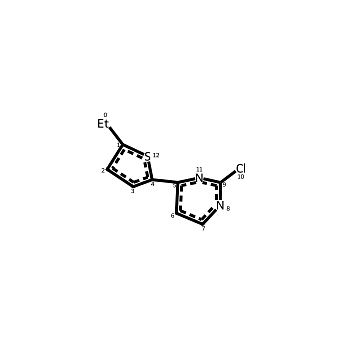 CCc1ccc(-c2ccnc(Cl)n2)s1